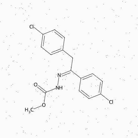 COC(=O)NN=C(Cc1ccc(Cl)cc1)c1ccc(Cl)cc1